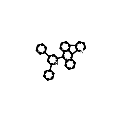 c1ccc(-c2cc(-c3ccccc3)nc(-c3c4ccccc4c4c5c(cccc35)-c3cccnc3-4)c2)cc1